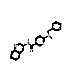 CN(Cc1ccccc1)c1ccc(C(=O)Nc2cnc3ccccc3c2)cn1